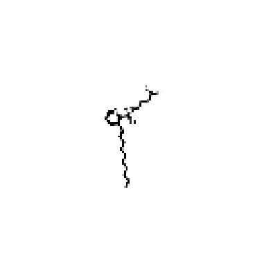 CCCCCCCCC=Cc1cccnc1C(=O)NCCCC(=O)O